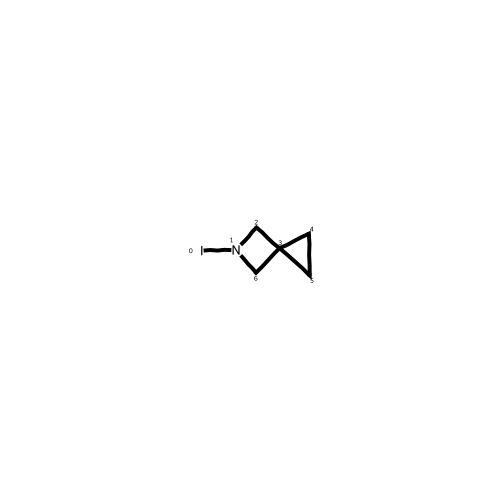 IN1CC2(CC2)C1